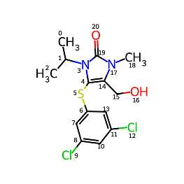 CC(C)n1c(Sc2cc(Cl)cc(Cl)c2)c(CO)n(C)c1=O